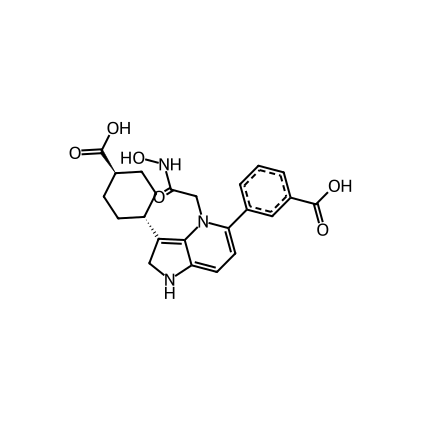 O=C(CN1C(c2cccc(C(=O)O)c2)=CC=C2NCC([C@H]3CC[C@H](C(=O)O)CC3)=C21)NO